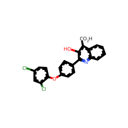 O=C(O)c1c(O)c(-c2ccc(Oc3ccc(Cl)cc3Cl)cc2)nc2ccccc12